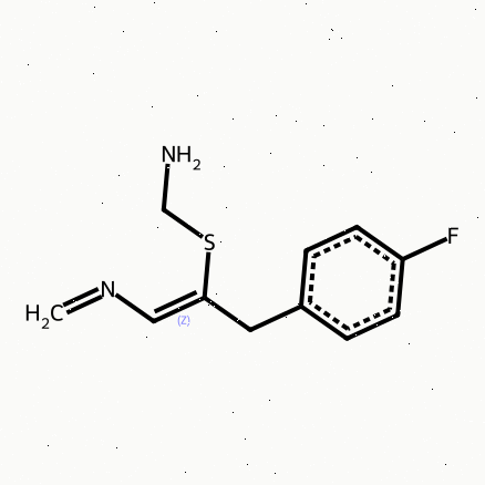 C=N/C=C(/Cc1ccc(F)cc1)SCN